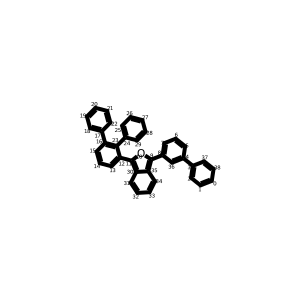 c1ccc(-c2cccc(-c3oc(-c4cccc(-c5ccccc5)c4-c4ccccc4)c4ccccc34)c2)cc1